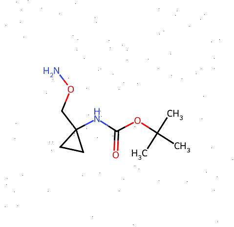 CC(C)(C)OC(=O)NC1(CON)CC1